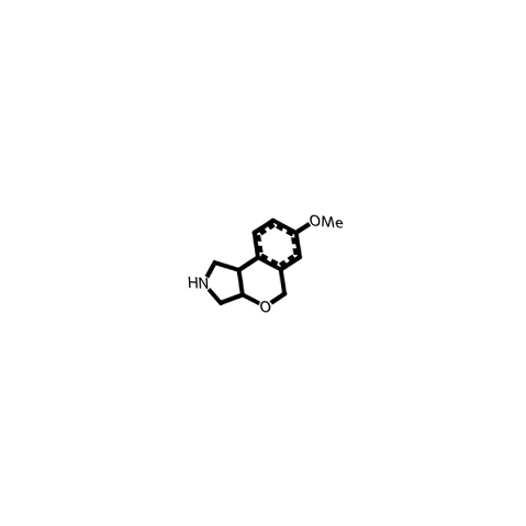 COc1ccc2c(c1)COC1CNCC21